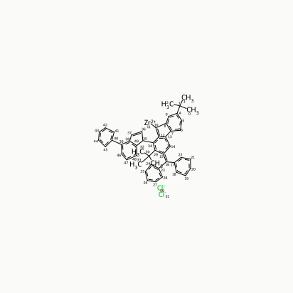 CC(C)(C)c1ccc2c(c1)[C]([Zr+2])=c1c-2cc(=C(c2ccccc2)c2ccccc2)c(C(C)(C)C)c1C1C=Cc2c(-c3ccccc3)cccc21.[Cl-].[Cl-]